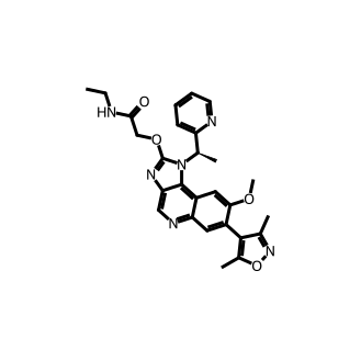 CCNC(=O)COc1nc2cnc3cc(-c4c(C)noc4C)c(OC)cc3c2n1[C@H](C)c1ccccn1